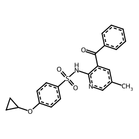 Cc1cnc(NS(=O)(=O)c2ccc(OC3CC3)cc2)c(C(=O)c2ccccc2)c1